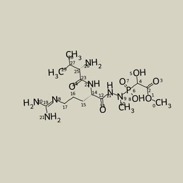 COC(=O)C(O)P(=O)(O)N(C)NC(=O)[C@H](CCCN=C(N)N)NC(=O)[C@@H](N)C(C)C